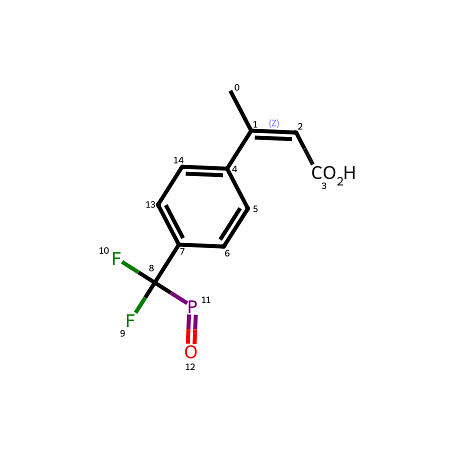 C/C(=C/C(=O)O)c1ccc(C(F)(F)P=O)cc1